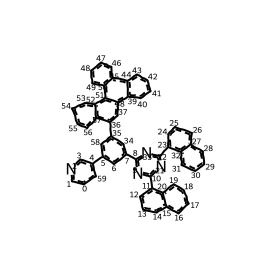 c1cncc(-c2cc(-c3nc(-c4cccc5ccccc45)nc(-c4cccc5ccccc45)n3)cc(-c3cc4c5ccccc5c5ccccc5c4c4ccccc34)c2)c1